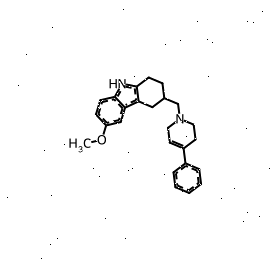 COc1ccc2[nH]c3c(c2c1)CC(CN1CC=C(c2ccccc2)CC1)CC3